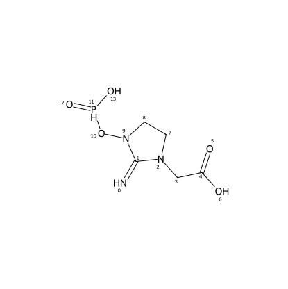 N=C1N(CC(=O)O)CCN1O[PH](=O)O